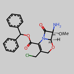 CO[C@@]1(N)C(=O)N2C(C(=O)OC(c3ccccc3)c3ccccc3)=C(CCl)CO[C@@H]21